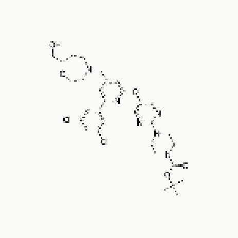 CC(C)(C)OC(=O)N1CCN(c2ncc(Oc3cc(CN4CCOC(CO)CC4)cc(-c4cc(Cl)cc(Cl)c4)n3)cn2)CC1